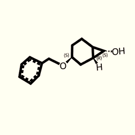 O[C@H]1C2CC[C@H](OCc3ccccc3)C[C@H]21